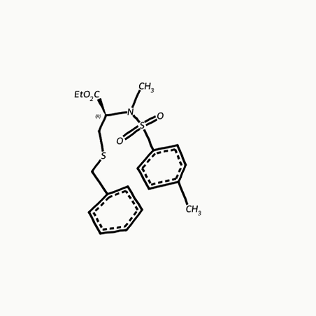 CCOC(=O)[C@H](CSCc1ccccc1)N(C)S(=O)(=O)c1ccc(C)cc1